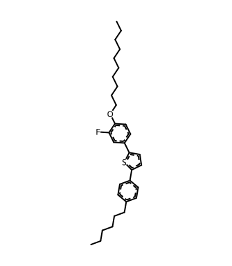 CCCCCCCCCCOc1ccc(-c2ccc(-c3ccc(CCCCCC)cc3)s2)cc1F